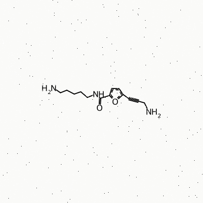 NCC#Cc1ccc(C(=O)NCCCCCN)o1